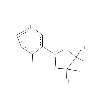 CC1(C)OB(c2cnccc2Cl)OC1(C)C